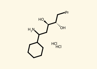 CC(C)C[C@H](O)[C@H](O)CC(N)C1CCCCC1.Cl.Cl